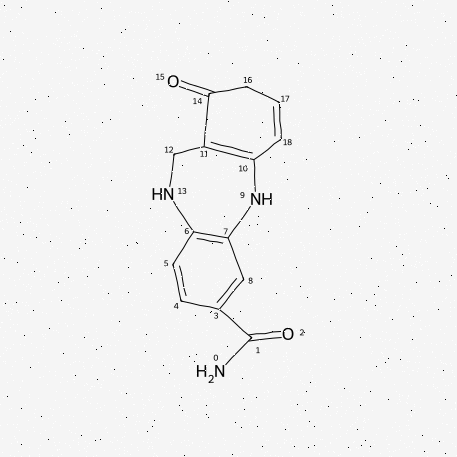 NC(=O)c1ccc2c(c1)NC1=C(CN2)C(=O)CC=C1